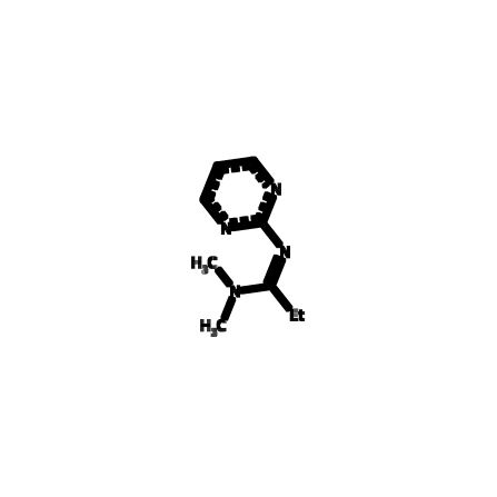 CCC(=Nc1ncccn1)N(C)C